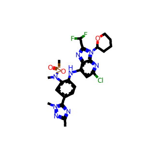 Cc1nc(-c2ccc(Nc3cc(Cl)nc4c3nc(C(F)F)n4C3CCCCO3)c(N(C)S(C)(=O)=O)c2)n(C)n1